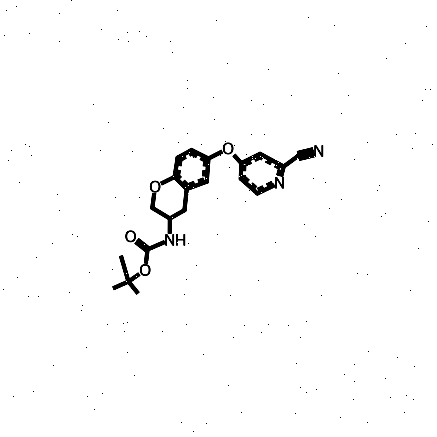 CC(C)(C)OC(=O)NC1COc2ccc(Oc3ccnc(C#N)c3)cc2C1